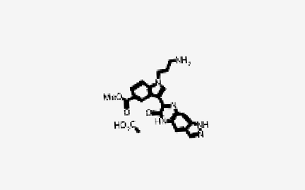 CC(=O)O.COC(=O)c1ccc2c(c1)c(-c1nc3cc4[nH]ncc4cc3[nH]c1=O)cn2CCCN